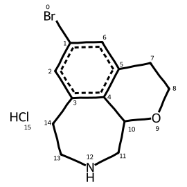 Brc1cc2c3c(c1)CCOC3CNCC2.Cl